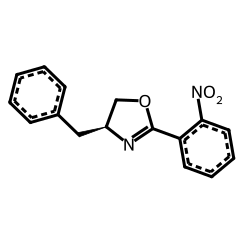 O=[N+]([O-])c1ccccc1C1=N[C@@H](Cc2ccccc2)CO1